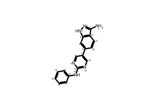 Nc1n[nH]c2cc(-c3cnc(Nc4ccccc4)nc3)ccc12